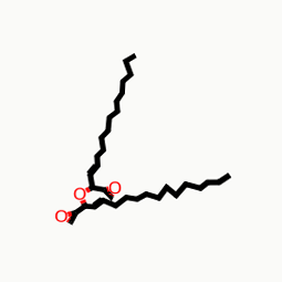 CCCCCCCCCCCCC=CC(OC(C=CCCCCCCCCCCCC)C1CO1)C1CO1